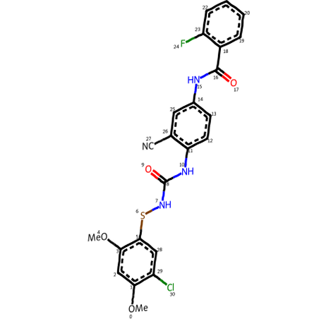 COc1cc(OC)c(SNC(=O)Nc2ccc(NC(=O)c3ccccc3F)cc2C#N)cc1Cl